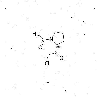 O=C(CCl)[C@H]1CCCN1C(=O)O